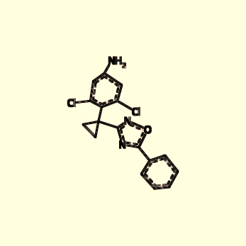 Nc1cc(Cl)c(C2(c3noc(-c4ccccc4)n3)CC2)c(Cl)c1